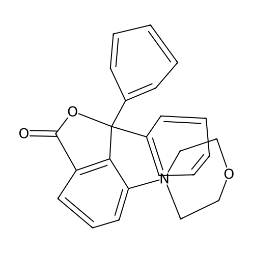 O=C1OC(c2ccccc2)(c2ccccc2)c2c1cccc2N1CCOCC1